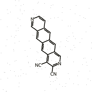 N#Cc1ncc2cc3cc4ccncc4cc3cc2c1C#N